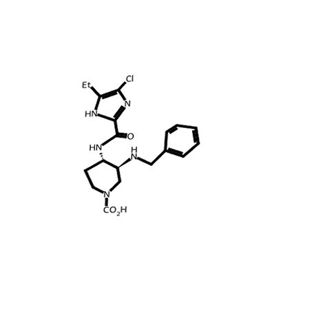 CCc1[nH]c(C(=O)N[C@H]2CCN(C(=O)O)C[C@@H]2NCc2ccccc2)nc1Cl